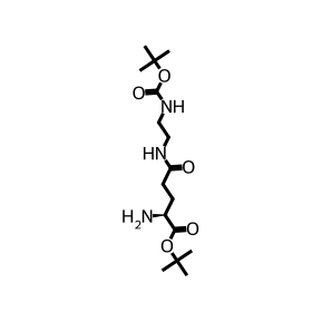 CC(C)(C)OC(=O)NCCNC(=O)CC[C@H](N)C(=O)OC(C)(C)C